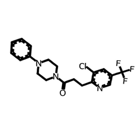 O=C(CCc1ncc(C(F)(F)F)cc1Cl)N1CCN(c2ccccc2)CC1